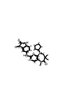 CN1C(=O)C(C)(C)CN(C2CCCC2)c2nc(Nc3ccc4c(c3)C(=O)C(=O)N4)ncc21